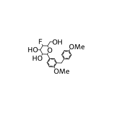 COc1ccc(Cc2cc(C3OC(CO)C(F)C(O)C3O)ccc2OC)cc1